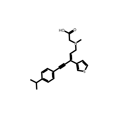 CC(C)c1ccc(C#C/C(=C/CN(C)CC(=O)O)c2ccsc2)cc1